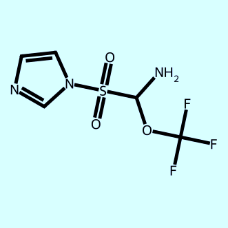 NC(OC(F)(F)F)S(=O)(=O)n1ccnc1